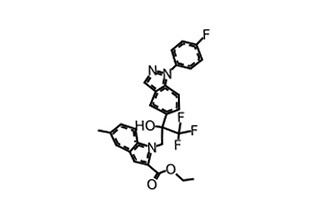 CCOC(=O)c1cc2cc(C)ccc2n1CC(O)(c1ccc2c(cnn2-c2ccc(F)cc2)c1)C(F)(F)F